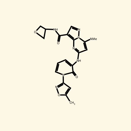 CNc1cc(Nc2cccn(-c3cc(C)on3)c2=O)nc2c(C(=O)NC3COC3)cnn12